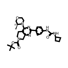 C[C@H]1COCCN1c1nc(-c2ccc(NC(=O)NC3CCC3)cc2)nc2c1CCN(C(=O)OC(C)(C)C)C2